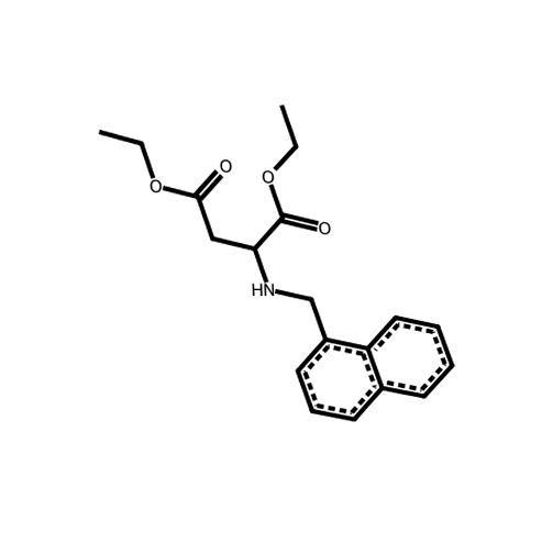 CCOC(=O)CC(NCc1cccc2ccccc12)C(=O)OCC